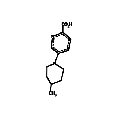 CC1CCN(c2ccc(C(=O)O)nc2)CC1